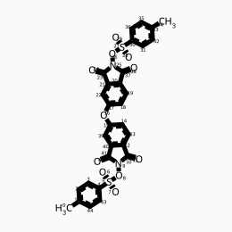 Cc1ccc(S(=O)(=O)ON2C(=O)c3ccc(Oc4ccc5c(c4)C(=O)N(OS(=O)(=O)c4ccc(C)cc4)C5=O)cc3C2=O)cc1